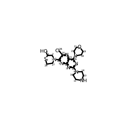 OC1CN(c2nc3nc(N4CCNCC4)nc(N4CCOCC4)c3nc2Cl)CCS1